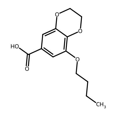 CCCCOc1cc(C(=O)O)cc2c1OCCO2